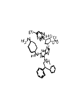 CCc1cnn([C@H]2C[C@@H](n3cnc4c(NCC(c5ccccc5)c5ccccc5)nc(NC5CCC(N)CC5)nc43)[C@H](OC(=O)C(F)(F)F)[C@@H]2O)n1